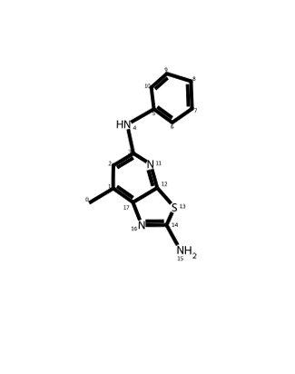 Cc1cc(Nc2ccccc2)nc2sc(N)nc12